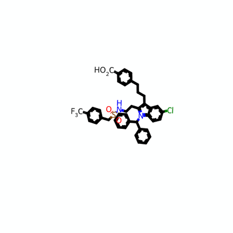 O=C(O)c1ccc(CCCc2c(CCNS(=O)(=O)Cc3ccc(C(F)(F)F)cc3)n(C(c3ccccc3)c3ccccc3)c3ccc(Cl)cc23)cc1